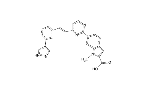 Cn1c(C(=O)O)cc2ccc(-c3nccc(C=Cc4cccc(-c5cn[nH]c5)c4)n3)cc21